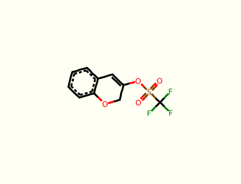 O=S(=O)(OC1=Cc2ccccc2OC1)C(F)(F)F